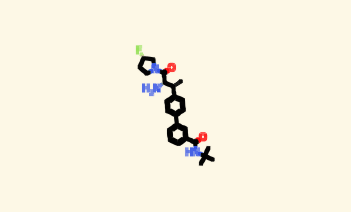 C[C@@H](c1ccc(-c2cccc(C(=O)NC(C)(C)C)c2)cc1)[C@H](N)C(=O)N1CC[C@H](F)C1